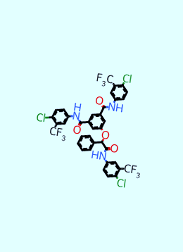 O=C(Nc1ccc(Cl)c(C(F)(F)F)c1)c1cc(OC(C(=O)Nc2ccc(Cl)c(C(F)(F)F)c2)c2ccccc2)cc(C(=O)Nc2ccc(Cl)c(C(F)(F)F)c2)c1